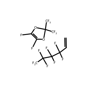 C=CC(F)(F)C(F)(F)C(F)(F)C(F)(F)F.FC1=C(F)OC(C(F)(F)F)(C(F)(F)F)O1